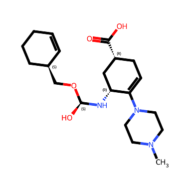 CN1CCN(C2=CC[C@@H](C(=O)O)C[C@H]2N[C@@H](O)OC[C@@H]2C=CCCC2)CC1